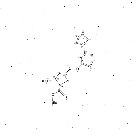 CC(C)(C)OC(=O)N1C[C@H](COc2cccc(-c3ccoc3)n2)C[C@H]1C(=O)O